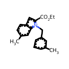 CCOC(=O)c1cc2ccc(C)cc2n1Cc1cccc(C)c1